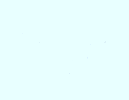 CC(C)(C)OC(=O)N1CC=C(c2ccc(O)c3c2CC2CC4CC(O)=C(C(N)=O)C(=O)C4C(O)=C2C3=O)CC1